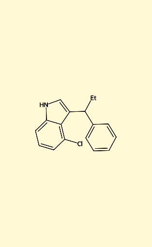 [CH2]CC(c1ccccc1)c1c[nH]c2cccc(Cl)c12